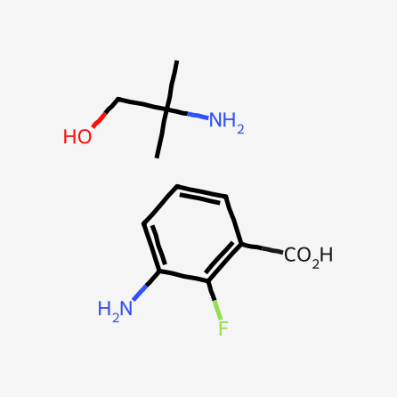 CC(C)(N)CO.Nc1cccc(C(=O)O)c1F